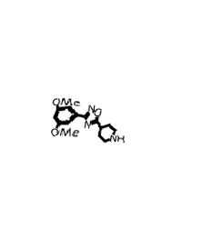 COc1cc(OC)cc(-c2noc(C3CCNCC3)n2)c1